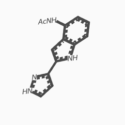 CC(=O)Nc1cccc2[nH]c(-c3cc[nH]n3)cc12